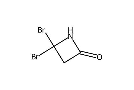 O=C1CC(Br)(Br)N1